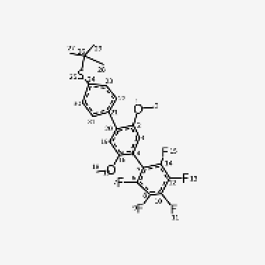 COc1cc(-c2c(F)c(F)c(F)c(F)c2F)c(OC)cc1-c1ccc(SC(C)(C)C)cc1